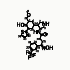 COCC1CC(C2CNC[C@@H]2NC(=O)CC/C(=N\O)c2cccc(C(F)(F)F)c2)CC(c2nccs2)C1O